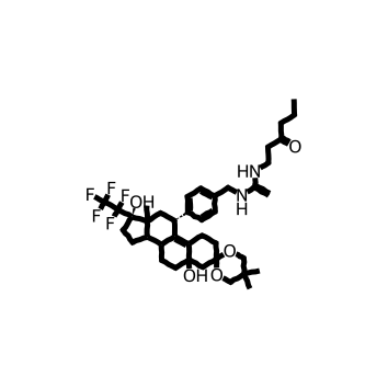 C=C(NCCC(=O)CCC)NCc1ccc([C@H]2CC3(C)C(CC[C@@]3(O)C(F)(F)C(F)(F)F)C3CCC4(O)CC5(CCC4=C32)OCC(C)(C)CO5)cc1